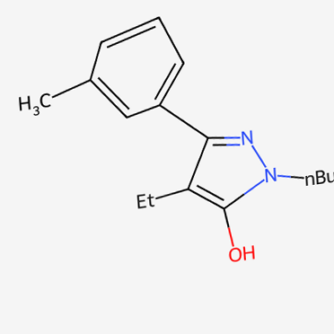 CCCCn1nc(-c2cccc(C)c2)c(CC)c1O